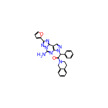 Nc1nc2c(cnn2C(C(=O)N2CCc3ccccc3C2)c2ccccc2)c2nc(-c3ccco3)nn12